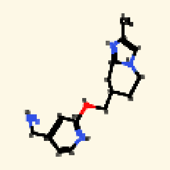 Cc1cn2c(n1)CC(COc1cc(CN)ccn1)CC2